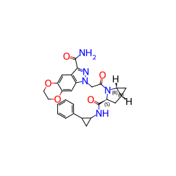 NC(=O)c1nn(CC(=O)N2[C@@H]3C[C@@H]3C[C@H]2C(=O)NC2CC2c2ccccc2)c2cc3c(cc12)OCCO3